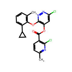 Cc1ccc(C(=O)Oc2cc(Cl)nnc2Oc2c(C)cccc2C2CC2)c(Cl)n1